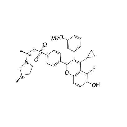 COc1cccc(C2=C(C3CC3)c3c(ccc(O)c3F)OC2c2ccc(S(=O)(=O)C[C@H](C)N3CC[C@@H](C)C3)cc2)c1